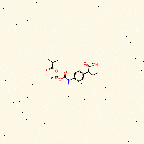 CCC(C(=O)O)c1ccc(NC(=O)O[C@@H](C)OC(=O)C(C)C)cc1